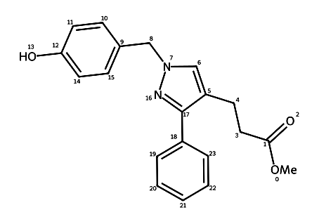 COC(=O)CCc1cn(Cc2ccc(O)cc2)nc1-c1ccccc1